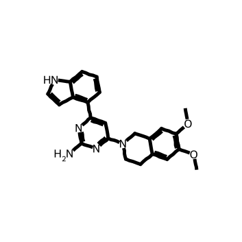 COc1cc2c(cc1OC)CN(c1cc(-c3cccc4[nH]ccc34)nc(N)n1)CC2